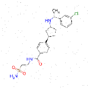 C[C@@H](N[C@H]1CC[C@@H](c2ccc(C(=O)NCCS(N)(=O)=O)cc2)C1)c1cccc(Cl)c1